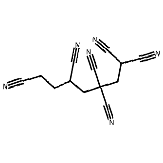 N#CCCC(C#N)CC(C#N)(C#N)CC(C#N)C#N